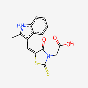 Cc1[nH]c2ccccc2c1/C=C1/SC(=S)N(CC(=O)O)C1=O